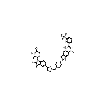 COc1cc2nn([C@H]3CC[C@H](CN4CC=C(c5ccc6c(c5)n(C)c(=O)n6C5CCC(=O)NC5=O)C4)CC3)cc2cc1NC(=O)c1cccc(C(F)(F)F)n1